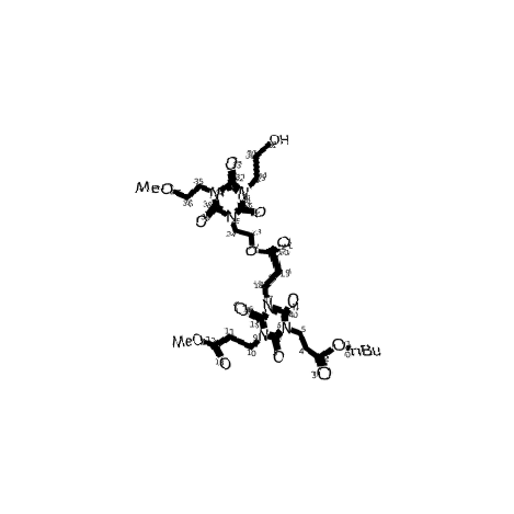 CCCCOC(=O)CCn1c(=O)n(CCC(=O)OC)c(=O)n(CCC(=O)OCCn2c(=O)n(CCO)c(=O)n(CCOC)c2=O)c1=O